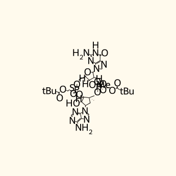 CO[C@H]1[C@H]2O[P@](=O)(OCOC(=O)C(C)(C)C)OC[C@@]3(C)C[C@@H](n4cnc5c(N)ncnc54)[C@H](O)[C@@H]3O[P@](=O)(SCOC(=O)C(C)(C)C)OC[C@H]1O[C@H]2n1cnc2c(=O)[nH]c(N)nc21